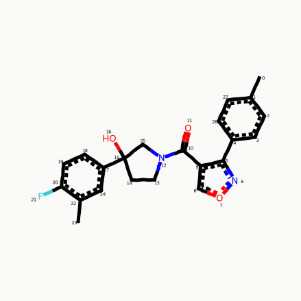 Cc1ccc(-c2nocc2C(=O)N2CCC(O)(c3ccc(F)c(C)c3)C2)cc1